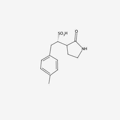 Cc1ccc(C[C@@H](C2CCNC2=O)S(=O)(=O)O)cc1